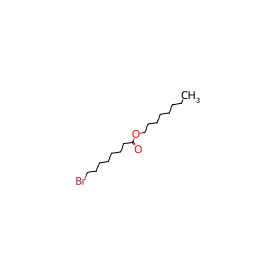 CCCCCCCCOC(=O)CCCCCCCBr